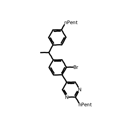 CCCCCc1ccc(C(C)c2ccc(-c3cnc(CCCCC)nc3)c(Br)c2)cc1